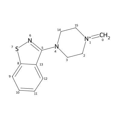 C=[N+]1CCN(c2nsc3ccccc23)CC1